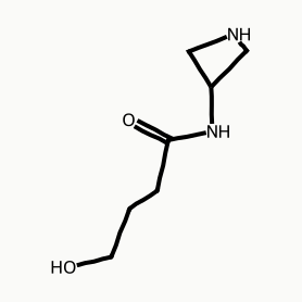 O=C(CCCO)NC1CNC1